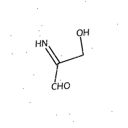 N=C(C=O)CO